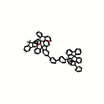 CC1(C)c2ccccc2-c2ccc(N(c3ccccc3-c3ccccc3)c3cccc4c3C3(c5ccccc5-c5ccccc53)c3ccc(-c5cccc(-c6ccc(N(c7ccc(-c8ccccc8)cc7)c7cccc8c7C7(c9ccccc9-c9ccccc97)c7ccccc7-8)cc6)c5)cc3-4)cc21